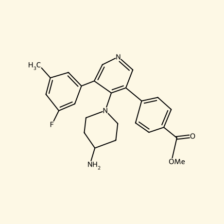 COC(=O)c1ccc(-c2cncc(-c3cc(C)cc(F)c3)c2N2CCC(N)CC2)cc1